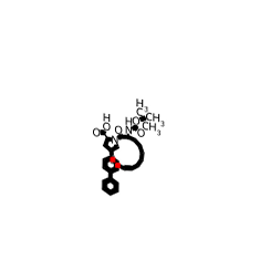 CC(C)(C)OC(=O)N[C@H]1CCCCCC=CCS[C@@]2(c3ccc(-c4ccccc4)cc3)C[C@@H](C(=O)O)N(C2)C1=O